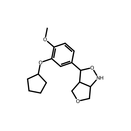 COc1ccc(C2ONC3COCC32)cc1OC1CCCC1